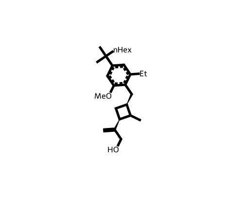 C=C(CO)[C@H]1C[C@@H](Cc2c(CC)cc(C(C)(C)CCCCCC)cc2OC)C1C